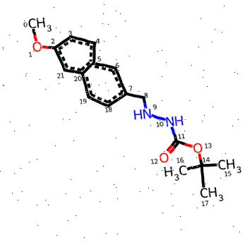 COc1ccc2cc(CNNC(=O)OC(C)(C)C)ccc2c1